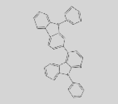 c1ccc(-n2c3ccccc3c3ccc(-c4ccnc5c4c4ccccc4n5-c4ccccc4)cc32)cc1